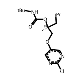 CC(C)C[C@@](C)(COc1cnc(Cl)nc1)OC(=O)NC(C)(C)C